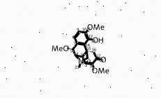 COC1=CC2C3[C@H](OC)c4ccc(OC)c(O)c4[C@@]2(CC1=O)CN3C